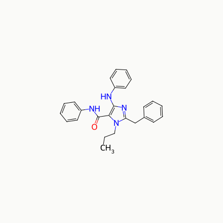 CCCn1c(Cc2ccccc2)nc(Nc2ccccc2)c1C(=O)Nc1ccccc1